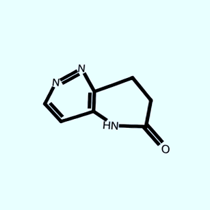 O=C1CCc2nnccc2N1